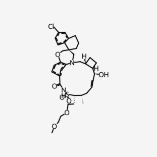 COCCOCC[C@H]1[C@@H](C)C/C=C/[C@H](O)[C@@H]2CC[C@H]2CN2C[C@@]3(CCCc4cc(Cl)ccc43)COc3ccc(cc32)C(=O)NS1(=O)=O